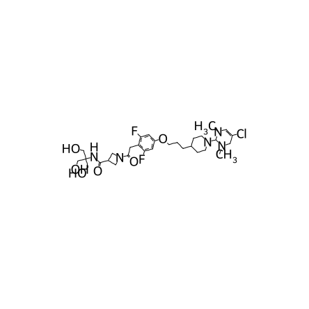 CN1C=C(Cl)CN(C)C1N1CCC(CCCOc2cc(F)c(CC(=O)N3CC(C(=O)NC(CO)(CO)CO)C3)c(F)c2)CC1